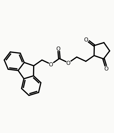 O=C(OCCC1C(=O)CCC1=O)OCC1c2ccccc2-c2ccccc21